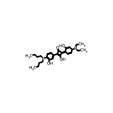 CCCCN(CCCC)c1ccc(C2=C(O)C(=C3C=CC(N(CC)CC)C=C3O)C2=O)cc1O